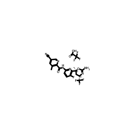 Cc1cc(C#N)cnc1C(=O)Nc1ccc(F)c([C@]2(C)C[C@@H](C(F)(F)F)N=C(N)O2)n1.O=C(O)C(F)(F)F